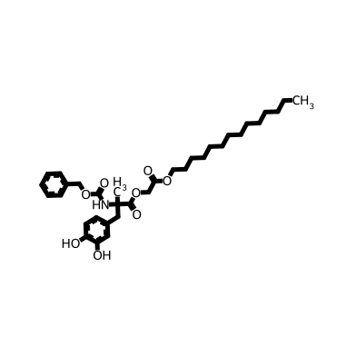 CCCCCCCCCCCCCCOC(=O)COC(=O)C(C)(Cc1ccc(O)c(O)c1)NC(=O)OCc1ccccc1